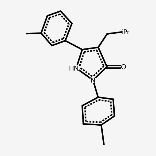 Cc1ccc(-n2[nH]c(-c3cccc(C)c3)c(CC(C)C)c2=O)cc1